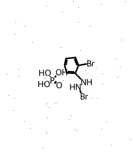 BrNNc1ccccc1Br.O=P(O)(O)O